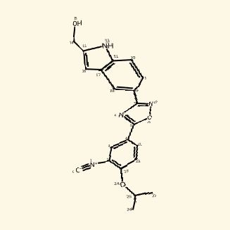 [C-]#[N+]c1cc(-c2nc(-c3ccc4[nH]c(CO)cc4c3)no2)ccc1OC(C)C